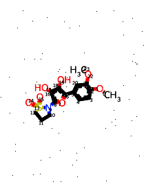 COc1ccc(-c2oc(N3CCCS3(=O)=O)c(O)c2O)cc1OC